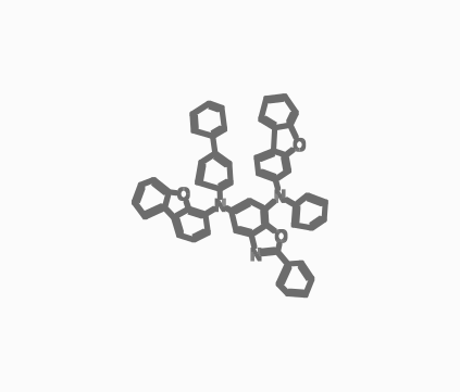 c1ccc(-c2ccc(N(c3cc(N(c4ccccc4)c4ccc5c(c4)oc4ccccc45)c4oc(-c5ccccc5)nc4c3)c3cccc4c3oc3ccccc34)cc2)cc1